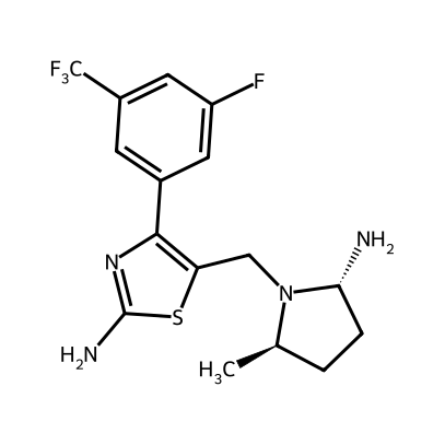 C[C@@H]1CC[C@@H](N)N1Cc1sc(N)nc1-c1cc(F)cc(C(F)(F)F)c1